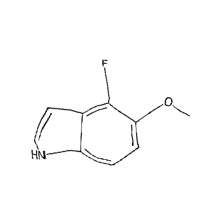 COc1ccc2[nH]ccc2c1F